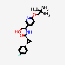 BC(B)(B)COc1ccc([C@H](CO)NC(=O)[C@H]2C[C@@H]2c2ccc(F)cc2)cn1